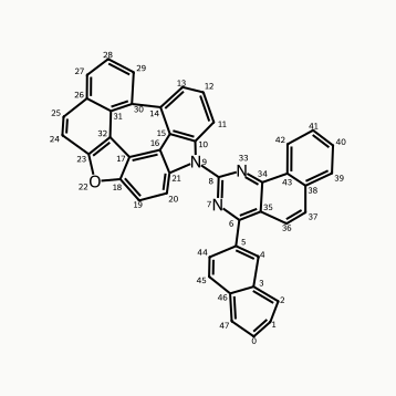 c1ccc2cc(-c3nc(-n4c5cccc6c5c5c7c(ccc54)oc4ccc5cccc-6c5c47)nc4c3ccc3ccccc34)ccc2c1